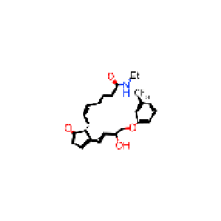 CCNC(=O)CCC/C=C\C[C@H]1C(=O)CC=C1/C=C/C(O)COc1cccc(C(F)(F)F)c1